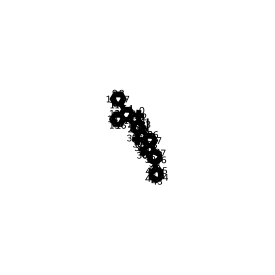 CC1(C)c2cc(-c3ccccc3)c3ccccc3c2-c2cc3c(nc21)-c1ccc2c(c1C3(C)C)C(C)(C)c1cc(-c3ccccc3)ccc1-2